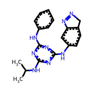 CC(C)Nc1nc(Nc2ccccc2)nc(Nc2ccc3c(c2)N=NC3)n1